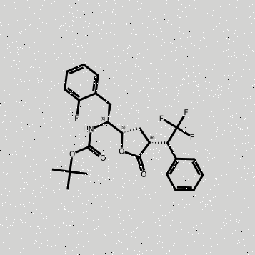 CC(C)(C)OC(=O)N[C@@H](Cc1ccccc1F)[C@@H]1C[C@H](C(c2ccccc2)C(F)(F)F)C(=O)O1